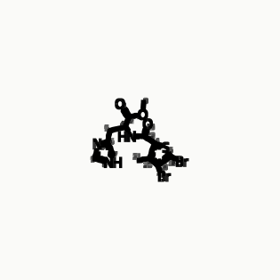 COC(=O)C(Cc1c[nH]cn1)NC(=O)c1sc(Br)c(Br)c1C